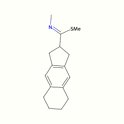 CN=C(SC)C1Cc2cc3c(cc2C1)CCCC3